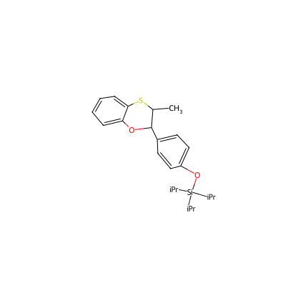 CC1Sc2ccccc2OC1c1ccc(O[Si](C(C)C)(C(C)C)C(C)C)cc1